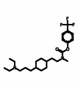 CCN(CC)CCCC1CCC(CCN(C)C(=O)Oc2ccc(C(F)(F)F)cc2)CC1